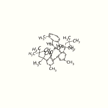 Cc1cc(C(C)(C)CC(C)(C)C)c2op(Nc3c(C)cccc3C)oc3c(C(C)(C)CC(C)(C)C)cc(C)cc3c2c1